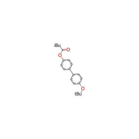 CCC(C)C(=O)Oc1ccc(-c2ccc(OC(C)(C)C)cc2)cc1